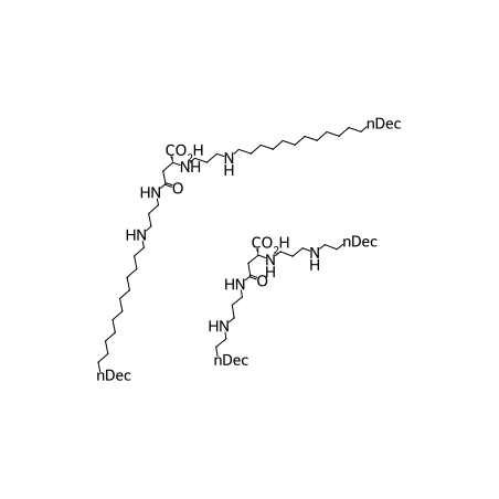 CCCCCCCCCCCCCCCCCCCCCCNCCCNC(=O)C[C@H](NCCCNCCCCCCCCCCCCCCCCCCCCCC)C(=O)O.CCCCCCCCCCCCNCCCNC(=O)C[C@H](NCCCNCCCCCCCCCCCC)C(=O)O